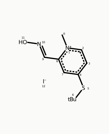 C[n+]1ccc(SC(C)(C)C)cc1/C=N/O.[I-]